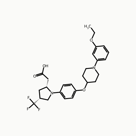 CCOc1cccc(N2CCC(Oc3ccc(N4C[C@H](C(F)(F)F)C[C@@H]4CC(=O)O)cc3)CC2)c1